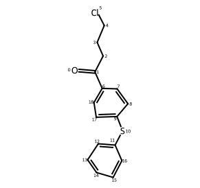 O=C(CCCCl)c1ccc(Sc2ccccc2)cc1